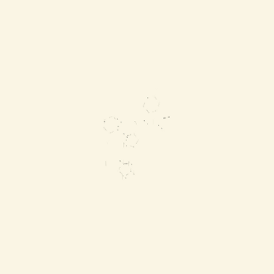 Cc1cc(I)cc(C(=O)NC(C)C)c1NC(=O)c1cc(Cn2nnc(C(F)(F)F)n2)nn1-c1ncccc1Cl